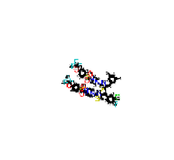 Cc1cc(C)cc(Cc2csc(N3CCN(S(=O)(=O)c4ccc(OC(F)(F)F)cc4)CC3)n2)c1.O=S(=O)(c1ccc(OC(F)(F)F)cc1)N1CCN(c2nc(Cc3ccc(F)c(Cl)c3)cs2)CC1